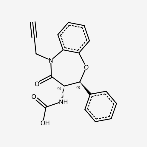 C#CCN1C(=O)[C@@H](NC(=O)O)[C@H](c2ccccc2)Oc2ccccc21